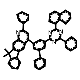 CC1(C)c2ccccc2-c2cc3c(-c4cc(-c5ccccc5)cc(-c5nc(-c6ccccc6)nc(-c6cccc7ccccc67)n5)c4)cc(-c4ccccc4)nc3cc21